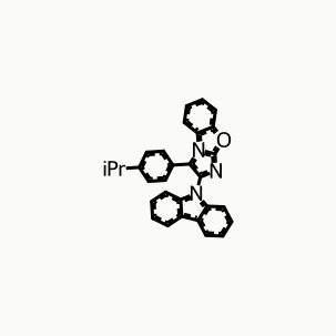 CC(C)c1ccc(-c2c(-n3c4ccccc4c4ccccc43)nc3oc4ccccc4n23)cc1